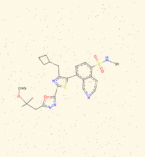 CC(C)NS(=O)(=O)c1ccc(-c2sc(-c3nnc(CC(C)(C)OC=O)o3)nc2CC2CCC2)c2cnccc12